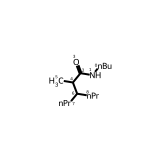 CCCCNC(=O)C(C)C(CCC)CCC